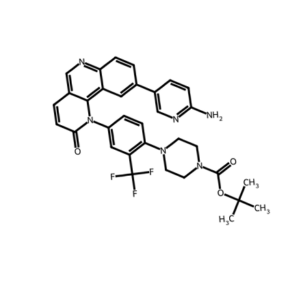 CC(C)(C)OC(=O)N1CCN(c2ccc(-n3c(=O)ccc4cnc5ccc(-c6ccc(N)nc6)cc5c43)cc2C(F)(F)F)CC1